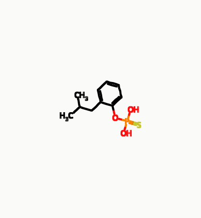 CC(C)Cc1ccccc1OP(O)(O)=S